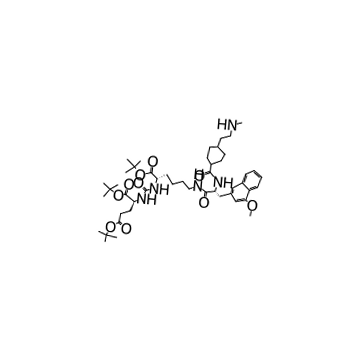 CNCCC1CCC(C(=O)N[C@H](Cc2cc(OC)c3ccccc3c2)C(=O)NCCCC[C@H](NC(=O)N[C@@H](CCC(=O)OC(C)(C)C)C(=O)OC(C)(C)C)C(=O)OC(C)(C)C)CC1